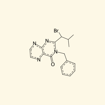 CC(C)C(Br)c1nc2nccnc2c(=O)n1Cc1ccccc1